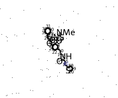 CNC(=S)NS(=O)(=O)c1cc(CCNC(=O)/C=C/c2cccs2)ccc1OCCc1ccccc1